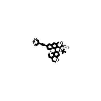 Cc1cc2cc(C#Cc3cncnc3)ccc2c(-c2ccc3c4c(ccnc24)CCO3)c1C(OC(C)(C)C)C(=O)O